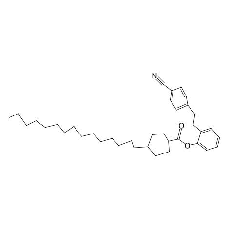 CCCCCCCCCCCCCCCC1CCC(C(=O)Oc2ccccc2CCc2ccc(C#N)cc2)CC1